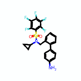 Nc1ccc(-c2ccccc2CN(C2CC2)S(=O)(=O)c2c(F)c(F)c(F)c(F)c2F)cc1